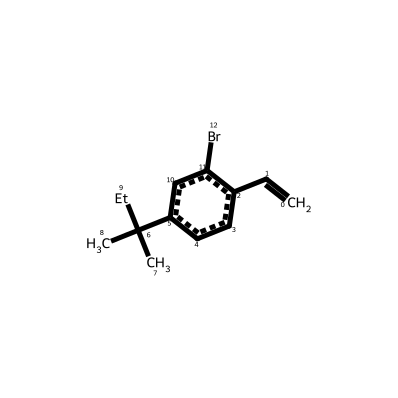 C=Cc1ccc(C(C)(C)CC)cc1Br